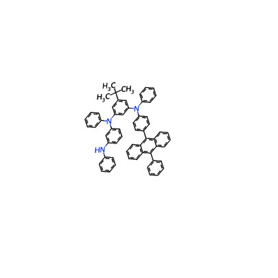 CC(C)(C)c1cc(N(c2ccccc2)c2ccc(-c3c4ccccc4c(-c4ccccc4)c4ccccc34)cc2)cc(N(c2ccccc2)c2cccc(Nc3ccccc3)c2)c1